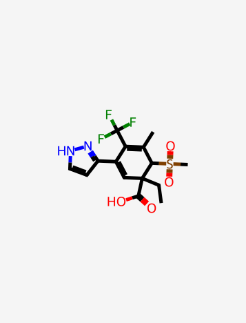 CCC1(C(=O)O)C=C(c2cc[nH]n2)C(C(F)(F)F)=C(C)C1S(C)(=O)=O